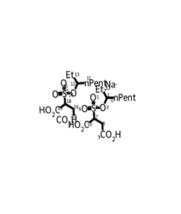 CCCCCC(CC)OS(=O)(=O)C(CC(=O)O)C(=O)O.CCCCCC(CC)OS(=O)(=O)C(CC(=O)O)C(=O)O.[Na]